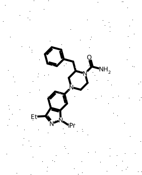 CCc1nn(C(C)C)c2cc(N3CCN(C(N)=O)C(Cc4ccccc4)C3)ccc12